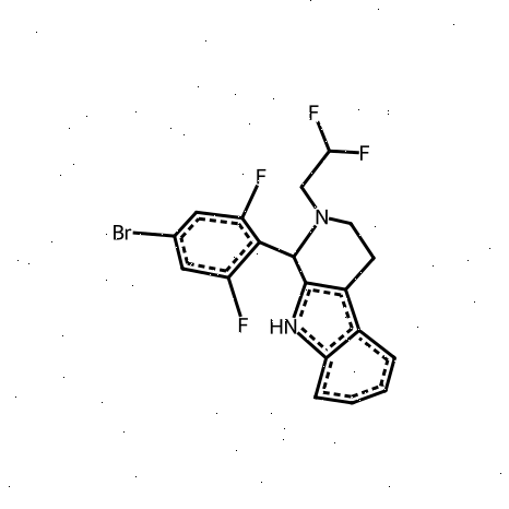 Fc1cc(Br)cc(F)c1C1c2[nH]c3ccccc3c2CCN1CC(F)F